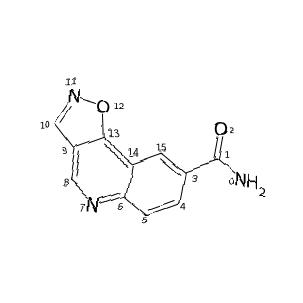 NC(=O)c1ccc2ncc3cnoc3c2c1